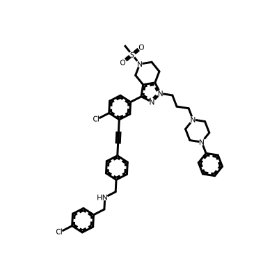 CS(=O)(=O)N1CCc2c(c(-c3ccc(Cl)c(C#Cc4ccc(CNCc5ccc(Cl)cc5)cc4)c3)nn2CCCN2CCN(c3ccccc3)CC2)C1